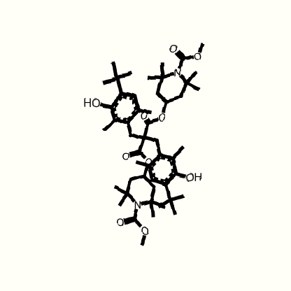 COC(=O)N1C(C)(C)CC(OC(=O)C(Cc2c(C)cc(C(C)(C)C)c(O)c2C)(Cc2c(C)cc(C(C)(C)C)c(O)c2C)C(=O)OC2CC(C)(C)N(C(=O)OC)C(C)(C)C2)CC1(C)C